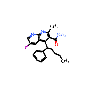 CCCCC(c1ccccc1)c1c(C(N)=O)c(C)nc2ncc(I)cc12